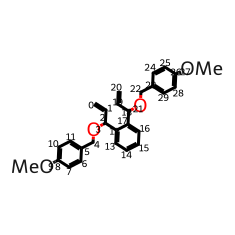 C=CC(OCc1ccc(OC)cc1)c1ccccc1C(C=C)OCc1ccc(OC)cc1